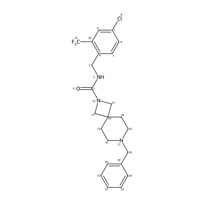 O=C(NCc1ccc(Cl)cc1C(F)(F)F)N1CC2(CCN(Cc3ccccc3)CC2)C1